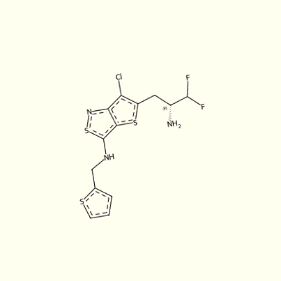 N[C@H](Cc1sc2c(NCc3cccs3)snc2c1Cl)C(F)F